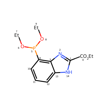 CCOC(=O)c1nc2c(P(OCC)OCC)cccc2[nH]1